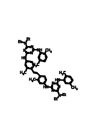 CCN(CC)c1nc(Nc2ccc(/C=C/c3ccc(Nc4nc(Nc5cc(C)ccc5C)nc(N(CC)CC)n4)cc3C)c(C)c2)nc(Nc2cc(C)ccc2C)n1